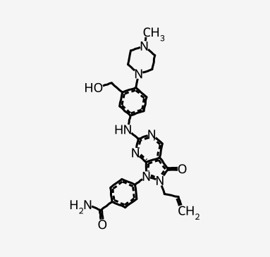 C=CCn1c(=O)c2cnc(Nc3ccc(N4CCN(C)CC4)c(CO)c3)nc2n1-c1ccc(C(N)=O)cc1